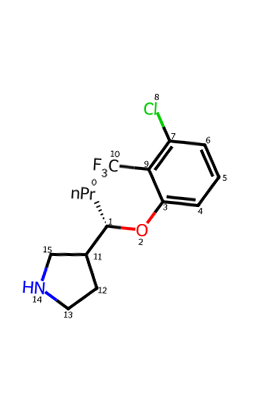 CCC[C@H](Oc1cccc(Cl)c1C(F)(F)F)C1CCNC1